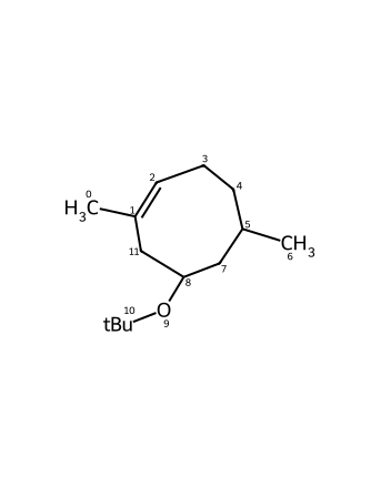 CC1=CCCC(C)CC(OC(C)(C)C)C1